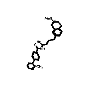 CN[C@H]1CCc2ccc(CCCC(O)NC(=O)c3ccc(-c4ccccc4C)cc3)cc2C1